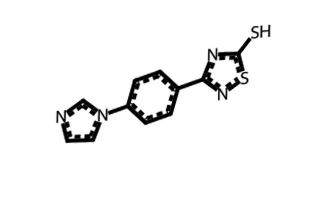 Sc1nc(-c2ccc(-n3ccnc3)cc2)ns1